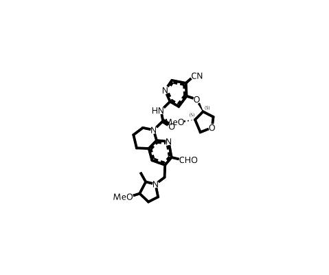 COC1CCN(Cc2cc3c(nc2C=O)N(C(=O)Nc2cc(O[C@H]4COC[C@@H]4OC)c(C#N)cn2)CCC3)C1C